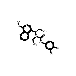 CC[C@H](c1cnc(OC)c2ccccc12)N(CC)C(=O)Nc1ccc(F)c(Cl)c1